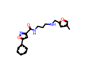 Cc1coc(CNCCCNC(=O)c2cc(-c3ccccc3)on2)c1